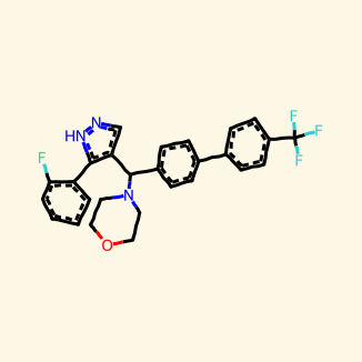 Fc1ccccc1-c1[nH]ncc1C(c1ccc(-c2ccc(C(F)(F)F)cc2)cc1)N1CCOCC1